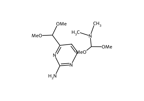 COC(OC)N(C)C.COC(OC)c1ccnc(N)n1